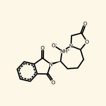 O=C1CN2C(CCC[C@@H](N3C(=O)c4ccccc4C3=O)[NH+]2[O-])O1